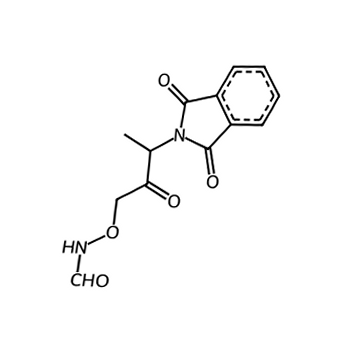 CC(C(=O)CONC=O)N1C(=O)c2ccccc2C1=O